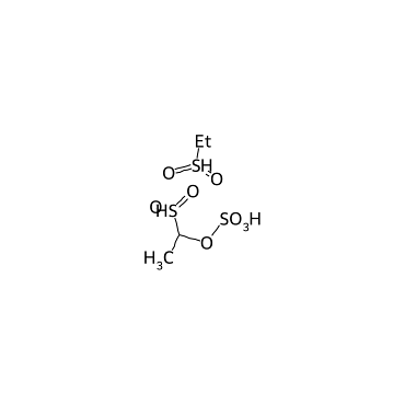 CC(OS(=O)(=O)O)[SH](=O)=O.CC[SH](=O)=O